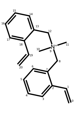 C=Cc1ccccc1C[N+](C)(C)Cc1ccccc1C=C